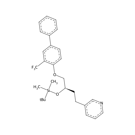 CC(C)(C)[Si](C)(C)O[C@H](CCc1cccnc1)COc1ccc(-c2ccccc2)cc1C(F)(F)F